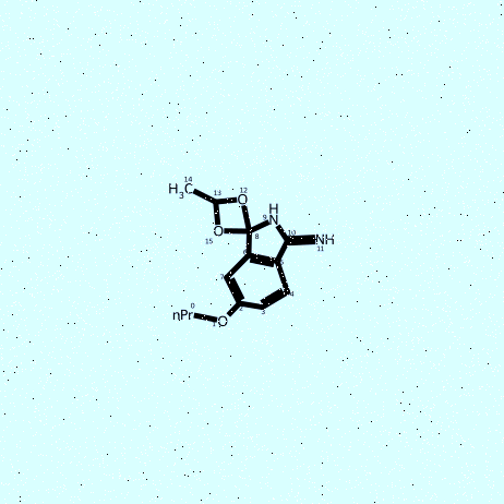 CCCOc1ccc2c(c1)C1(NC2=N)OC(C)O1